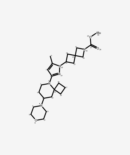 Cc1cc(N2CCC(N3CCOCC3)CC23CCC3)nn1C1CC2(C1)CN(C(=O)OC(C)(C)C)C2